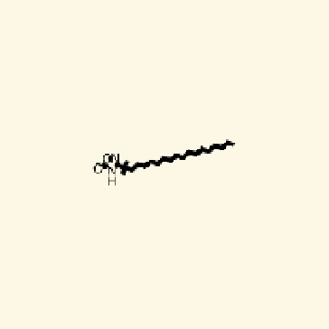 CCCCCCCCCCCCCCCCCC(C)(C)c1noc(=O)[nH]1